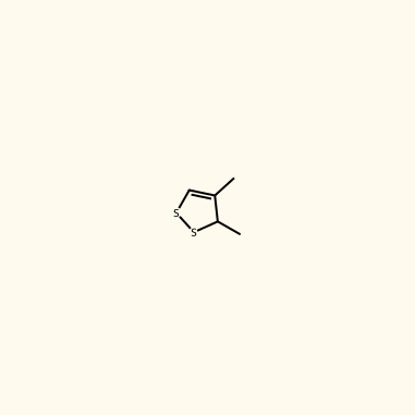 CC1=CSSC1C